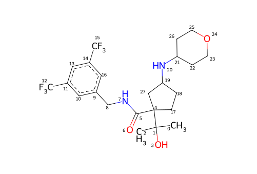 CC(C)(O)C1(C(=O)NCc2cc(C(F)(F)F)cc(C(F)(F)F)c2)CCC(NC2CCOCC2)C1